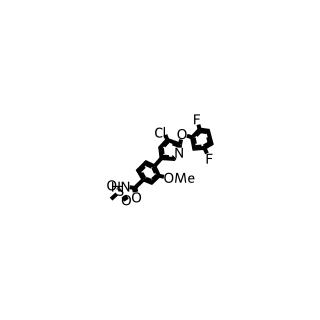 COc1cc(C(=O)NS(C)(=O)=O)ccc1-c1cnc(Oc2cc(F)ccc2F)c(Cl)c1